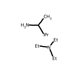 CC(C)C(C)N.CCN(CC)CC